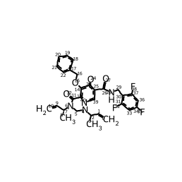 C=CC(C)N1CN([C@@H](C)C=C)C(=O)c2c(OCc3ccccc3)c(=O)c(C(=O)NCc3c(F)cc(F)cc3F)cn21